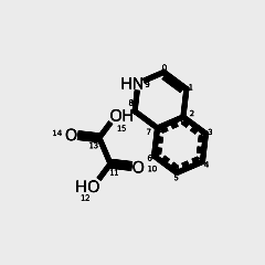 C1=Cc2ccccc2CN1.O=C(O)C(=O)O